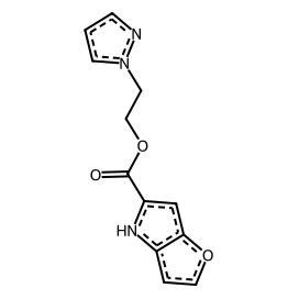 O=C(OCCn1cccn1)c1cc2occc2[nH]1